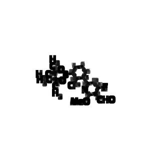 COc1nc(-c2cccc(B3OC(C)(C)C(C)(C)O3)c2Cl)cc(F)c1C=O